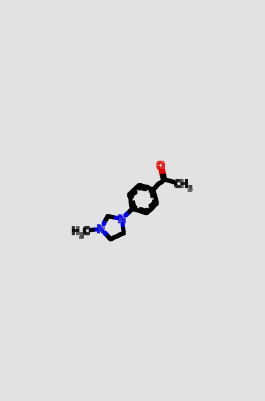 CC(=O)c1ccc(N2CCN(C)C2)cc1